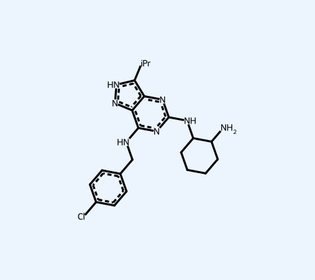 CC(C)c1[nH]nc2c(NCc3ccc(Cl)cc3)nc(NC3CCCCC3N)nc12